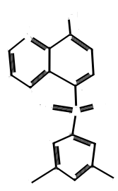 Cc1cc(C)cc(S(=O)(=O)c2ccc(O)c3ncccc23)c1